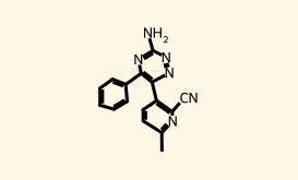 Cc1ccc(-c2nnc(N)nc2-c2ccccc2)c(C#N)n1